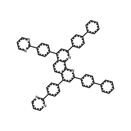 c1ccc(-c2ccc(-c3cc(-c4ccc(-c5ncccn5)cc4)c4ccc5c(-c6ccc(-c7ncccn7)cc6)cc(-c6ccc(-c7ccccc7)cc6)nc5c4n3)cc2)cc1